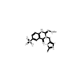 CON=c1[nH]c2ccc(S(=O)(=O)Cl)cc2c(=O)n1Cc1cnc(C)s1